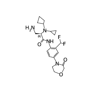 NC[C@H](C(=O)Nc1ccc(N2CCOCC2=O)cc1C(F)F)N(C1CCC1)C1CC1